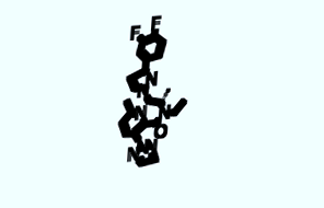 CCN(C(=O)c1nc(C)ccc1-n1nccn1)[C@@H](C)Cn1ccc(-c2ccc(F)c(F)c2)n1